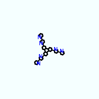 c1ccc(-c2ccc(-c3ccc4c(c3)c3ccc(-c5ccc(-c6ccccn6)cn5)cc3c3ccc(-c5ccc(-c6ccccn6)cn5)cc43)nc2)nc1